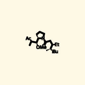 CC[C@H](CC(=O)N1CCC[C@H]1[C@H](OC)[C@@H](C)C(C)=O)[C@@H](C)[C@@H](C)CC